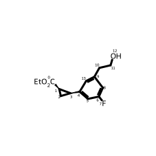 CCOC(=O)[C@@H]1C[C@@H]1c1cc(F)cc(CCO)c1